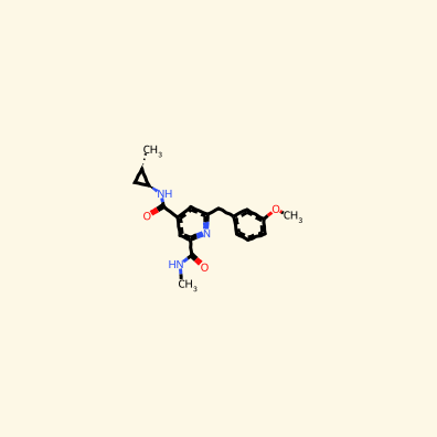 CNC(=O)c1cc(C(=O)N[C@H]2C[C@@H]2C)cc(Cc2cccc(OC)c2)n1